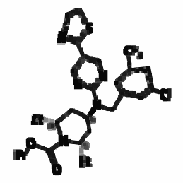 CC[C@@H]1C[C@@H](N(Cc2cc(Cl)cc(C(F)(F)F)c2)c2ncc(-c3nccs3)cn2)C[C@H](CC)N1C(=O)OC(C)C